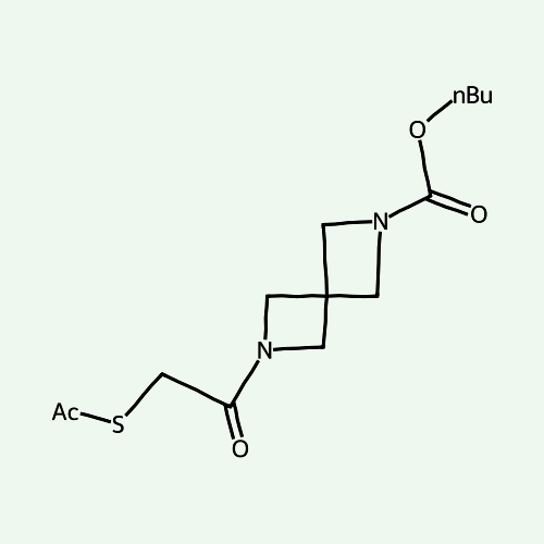 CCCCOC(=O)N1CC2(CN(C(=O)CSC(C)=O)C2)C1